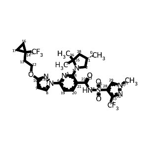 C[C@@H]1CN(c2nc(-n3ccc(OCCC4(C(F)(F)F)CC4)n3)ccc2C(=O)NS(=O)(=O)c2cn(C)nc2C(F)(F)F)C(C)(C)C1